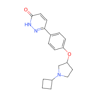 O=c1ccc(-c2ccc(OC3CCN(C4CCC4)C3)cc2)n[nH]1